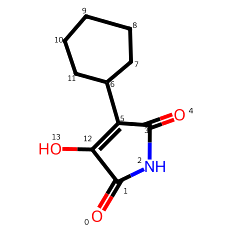 O=C1NC(=O)C(C2CCCCC2)=C1O